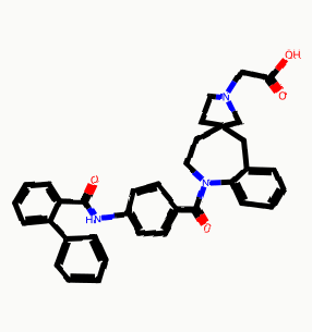 O=C(O)CN1CCC2(CCN(C(=O)c3ccc(NC(=O)c4ccccc4-c4ccccc4)cc3)c3ccccc3C2)C1